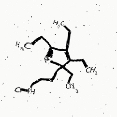 CCC1=PC(CC)(CCPCl)C(CC)=C1CC